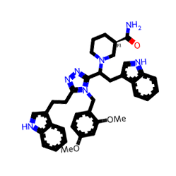 COc1ccc(Cn2c(CCc3c[nH]c4ccccc34)nnc2C(Cc2c[nH]c3ccccc23)N2CCC[C@@H](C(N)=O)C2)c(OC)c1